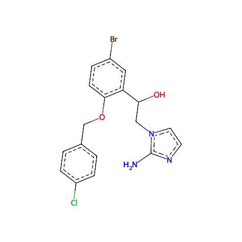 Nc1nccn1CC(O)c1cc(Br)ccc1OCc1ccc(Cl)cc1